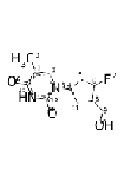 Cc1cn(C2CC(F)C(CO)C2)c(=O)[nH]c1=O